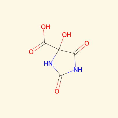 O=C1NC(=O)C(O)(C(=O)O)N1